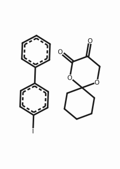 Ic1ccc(-c2ccccc2)cc1.O=C1COC2(CCCCC2)OC1=O